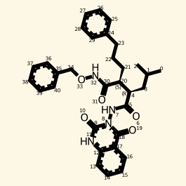 CC(C)C[C@@H](C(=O)Nn1c(=O)[nH]c2ccccc2c1=O)[C@H](CCCc1ccccc1)C(=O)NOCc1ccccc1